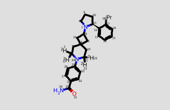 [2H]C1([2H])CC2(CC(N3CCC[C@H]3c3ccccc3C(C)C)C2)CC([2H])([2H])N1c1ccc(C(N)=O)cc1